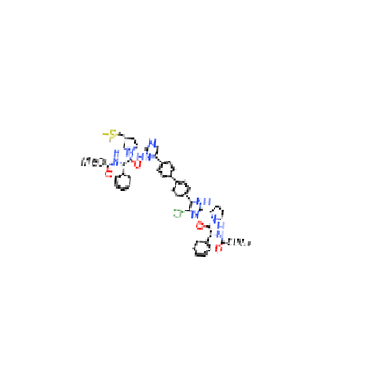 COC(=O)N[C@H](C(=O)N1CC(/C=[SH]\C)C[C@@H]1c1ncc(-c2ccc(-c3ccc(-c4[nH]c([C@@H]5CCCN5C(=O)[C@@H](NC(=O)OC)c5ccccc5)nc4Cl)cc3)cc2)[nH]1)c1ccccc1